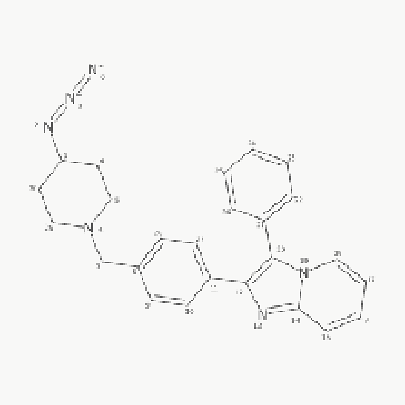 [N-]=[N+]=NC1CCN(Cc2ccc(-c3nc4ccccn4c3-c3ccccc3)cc2)CC1